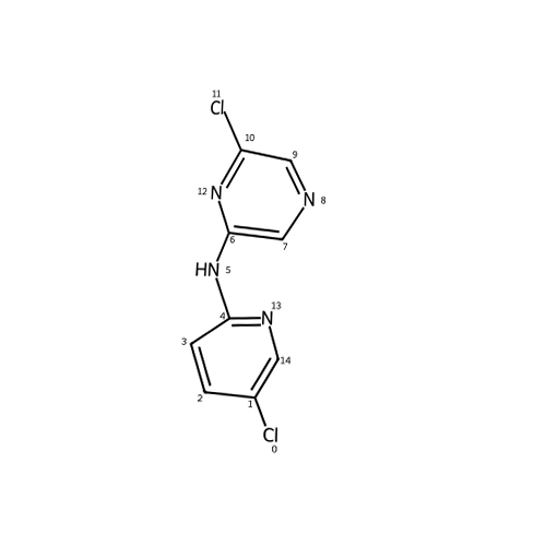 Clc1ccc(Nc2cncc(Cl)n2)nc1